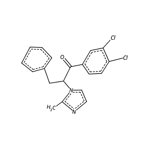 Cc1nccn1C(Cc1ccccc1)C(=O)c1ccc(Cl)c(Cl)c1